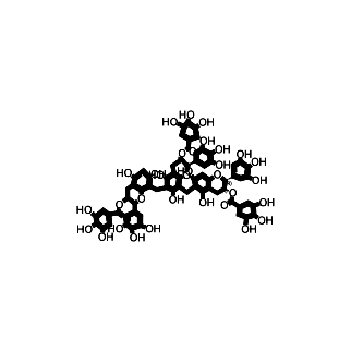 O=C(OC1Cc2c(O)cc(O)c(Cc3c(O)c(Cc4c(O)cc5c(c4O)C[C@@H](OC(=O)c4cc(O)c(O)c(O)c4)[C@@H](c4cc(O)c(O)c(O)c4)O5)c4c(c3O)C[C@@H](OC(=O)c3cc(O)c(O)c(O)c3)[C@@H](c3cc(O)c(O)c(O)c3)O4)c2OC1c1cc(O)c(O)c(O)c1)c1cc(O)c(O)c(O)c1